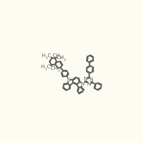 CC1CC(C)(C)C2=C(C=CC(c3ccc(-n4c5ccccc5c5c6c7ccccc7n(-c7nc(-c8ccccc8)nc(-c8ccc(-c9ccccc9)cc8)n7)c6ccc54)cc3)C2)C1(C)C